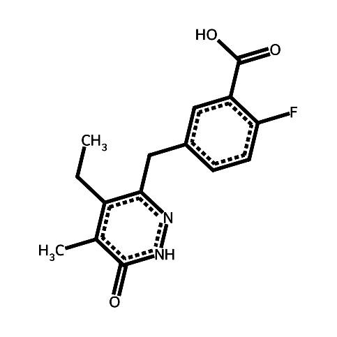 CCc1c(Cc2ccc(F)c(C(=O)O)c2)n[nH]c(=O)c1C